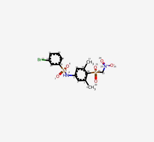 Cc1cc(NS(=O)(=O)c2cccc(Br)c2)cc(C)c1S(=O)(=O)C[N+](=O)[O-]